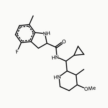 COC1CCNC(C(NC(=O)C2Cc3c(F)ccc(C)c3N2)C2CC2)C1C